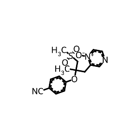 CC(Cc1cncc[n+]1[O-])(CS(C)(=O)=O)Oc1ccc(C#N)cc1